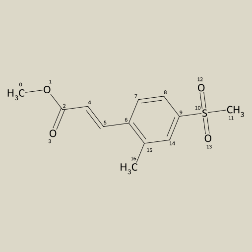 COC(=O)C=Cc1ccc(S(C)(=O)=O)cc1C